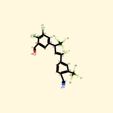 N#Cc1ccc(/C(F)=C/C(c2cc(Cl)c(Cl)c(C=O)c2)C(F)(F)F)cc1C(F)(F)F